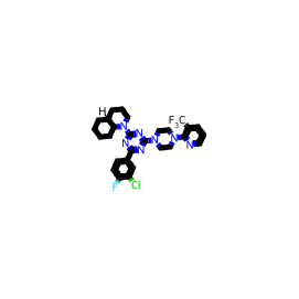 Fc1ccc(-c2nc(N3CCN(c4ncccc4C(F)(F)F)CC3)nc(N3CCC[C@@H]4CCCCC43)n2)cc1Cl